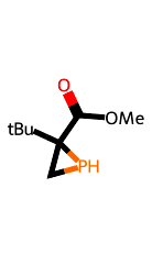 COC(=O)C1(C(C)(C)C)CP1